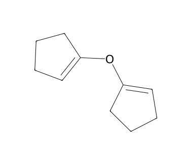 C1=C(OC2=CCCC2)CCC1